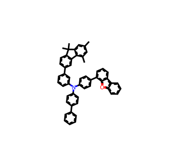 Cc1cc(C)c2c(c1)C(C)(C)c1ccc(-c3cccc(N(c4ccc(-c5ccccc5)cc4)c4ccc(-c5cccc6c5oc5ccccc56)cc4)c3)cc1-2